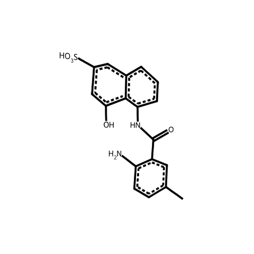 Cc1ccc(N)c(C(=O)Nc2cccc3cc(S(=O)(=O)O)cc(O)c23)c1